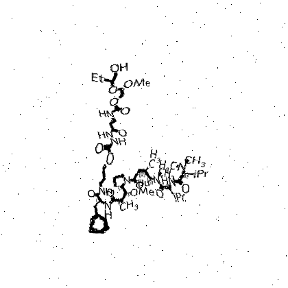 CCC(CO)OC(COC(=O)NCCC(=O)NNC(=O)OCCCNC(=O)[C@H](Cc1ccccc1)NC(=O)[C@H](C)[C@@H](OC)[C@@H]1CCCN1C(=O)C[C@@H](C)[C@H]([C@@H](C)CC)N(C)C(=O)[C@@H](NC(=O)[C@H](C(C)C)N(C)C)C(C)C)OC